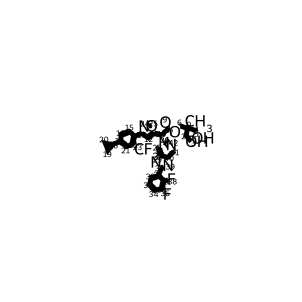 CC(CO)(CO)COC(=O)C(c1cc(-c2ccc(C3CC3)cc2C(F)(F)F)no1)n1cc2nc(-c3cccc(F)c3F)nc-2cn1